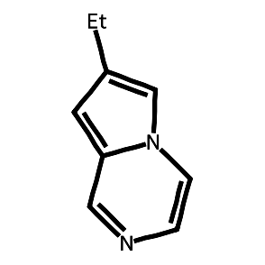 CCc1cc2cnccn2c1